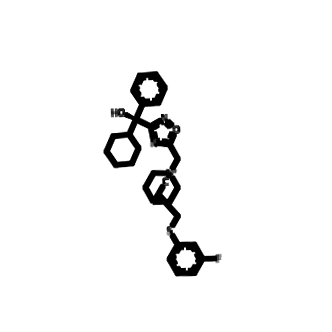 O[C@@](c1ccccc1)(c1noc(C[N+]23CCC(CC2)C(CSc2cccc(F)c2)C3)n1)C1CCCCC1